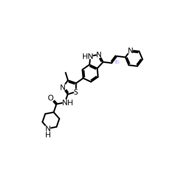 Cc1nc(NC(=O)C2CCNCC2)sc1-c1ccc2c(/C=C/c3ccccn3)n[nH]c2c1